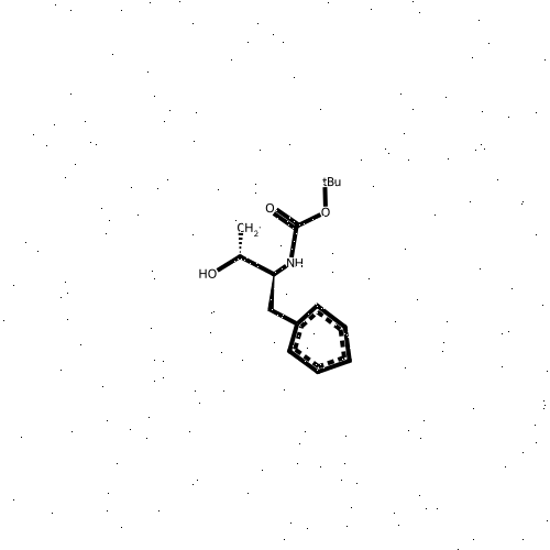 [CH2][C@@H](O)[C@H](Cc1ccccc1)NC(=O)OC(C)(C)C